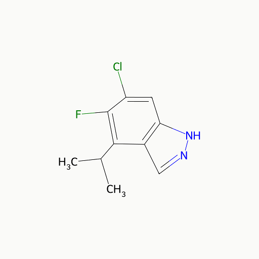 CC(C)c1c(F)c(Cl)cc2[nH]ncc12